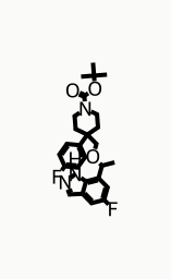 CC(OCC1(c2ccc(F)cc2)CCN(C(=O)OC(C)(C)C)CC1)c1cc(F)cc2cn[nH]c12